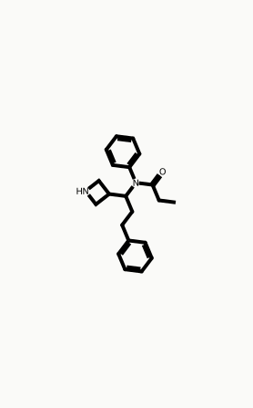 CCC(=O)N(c1ccccc1)C(CCc1ccccc1)C1CNC1